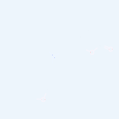 O=c1oc2cc3c(cc2c2ccccc12)c1ccccc1n3-c1ccc2oc3ccccc3c2c1